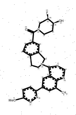 COc1ccc(-c2cc(C)c3ncnc(N4CCc5ccc(C(=O)N6CC[C@H](O)[C@H](F)C6)cc5C4)c3c2)nn1